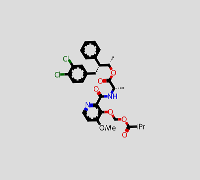 COc1ccnc(C(=O)N[C@@H](C)C(=O)O[C@@H](C)[C@H](Cc2ccc(Cl)c(Cl)c2)c2ccccc2)c1OCOC(=O)C(C)C